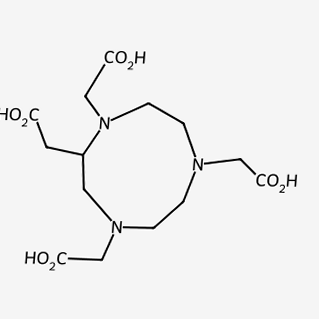 O=C(O)CC1CN(CC(=O)O)CCN(CC(=O)O)CCN1CC(=O)O